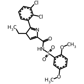 CCC1C=C(C(=O)NS(=O)(=O)c2cc(OC)ccc2OC)N=C1c1cccc(Cl)c1Cl